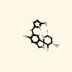 C[C@@H]1C[C@H](O)C(I)[C@@]2(OCc3cc(F)c(Cc4ccc(Cl)s4)cc32)O1